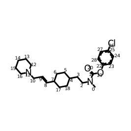 CN(CCC1CCC(C=CCN2CCCCC2)CC1)C(=O)Oc1ccc(Cl)cc1